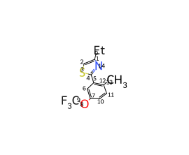 [CH2]Cc1csc(-c2cc(OC(F)(F)F)ccc2C)n1